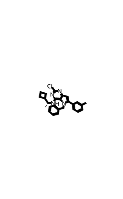 Cc1cccc(-c2cc3nc(Cl)nc(N[C@H](C)C4CCC4)c3n2Cc2ccccc2)c1